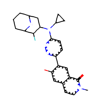 Cn1ccc2cc(O)c(-c3ccc(N(C4CC4)C4CC5CCCC(N5)C4F)nn3)cc2c1=O